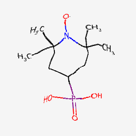 CC1(C)CC(P(=O)(O)O)CC(C)(C)N1[O]